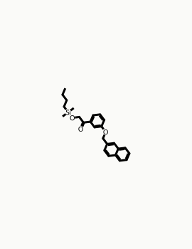 CCCC[Si](C)(C)OCC(=O)c1cccc(OCc2ccc3ccccc3c2)c1